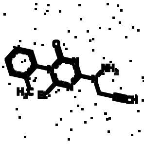 C#CCN(N)c1nc(CC)n(-c2ccccc2C)c(=O)n1